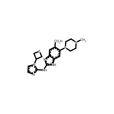 CN1CCN(c2cc3[nH]c(Nc4nccn4C4CSC4)nc3cc2C(=O)O)CC1